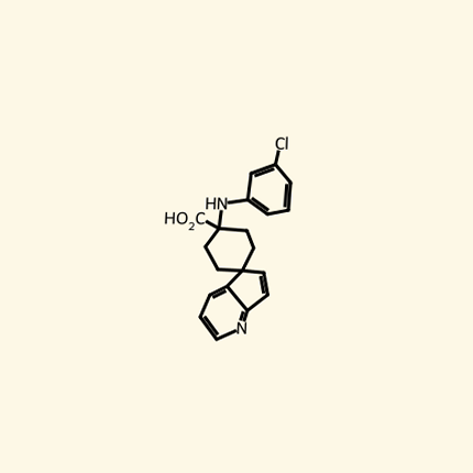 O=C(O)C1(Nc2cccc(Cl)c2)CCC2(C=Cc3ncccc32)CC1